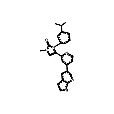 CC(C)c1cccc(-n2c(-c3cc(-c4cnc5[nH]ccc5c4)ccn3)cn(C)c2=O)c1